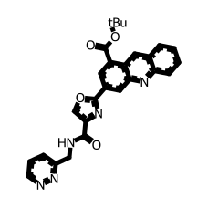 CC(C)(C)OC(=O)c1cc(-c2nc(C(=O)NCc3cccnn3)co2)cc2nc3ccccc3cc12